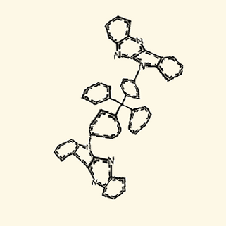 c1ccc(C(c2ccccc2)(c2ccc(-n3c4ccccc4c4nc5ccccc5nc43)cc2)c2ccc(-n3c4ccccc4c4nc5ccccc5nc43)cc2)cc1